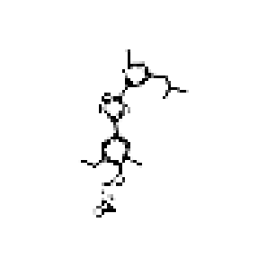 CCc1cc(-c2noc(-c3cc(CC(C)C)cc(C)n3)n2)cc(C)c1OC[C@@H]1CO1